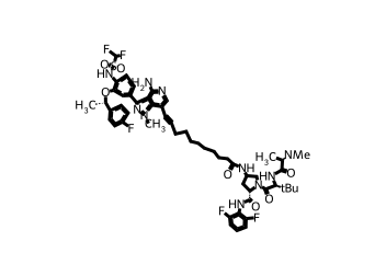 CN[C@@H](C)C(=O)N[C@H](C(=O)N1CC(NC(=O)CCCCCCCCC#Cc2cnc(N)c3c(-c4ccc(NS(=O)(=O)C(F)F)c(O[C@@H](C)c5ccc(F)cc5)c4)nn(C)c23)C[C@H]1C(=O)Nc1c(F)cccc1F)C(C)(C)C